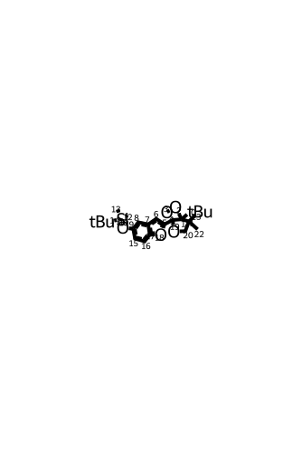 CC(C)(C)C12OOC1(c1cc3cc(O[Si](C)(C)C(C)(C)C)ccc3o1)OCC2(C)C